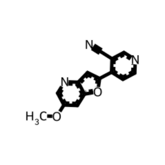 COc1cnc2cc(-c3ccncc3C#N)oc2c1